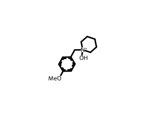 COc1ccc(C[N+]2(O)CCCCC2)cc1